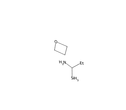 C1COC1.CCC(N)[SiH3]